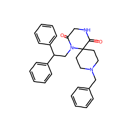 O=C1CNC(=O)C2(CCN(Cc3ccccc3)CC2)N1CC(c1ccccc1)c1ccccc1